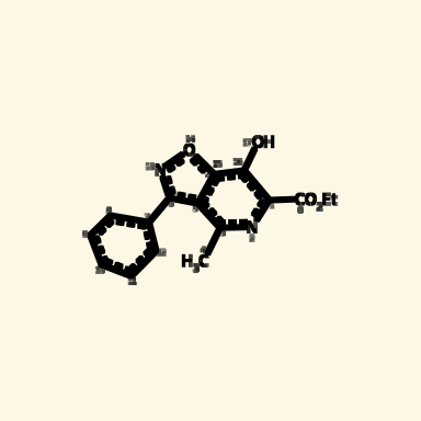 CCOC(=O)c1nc(C)c2c(-c3ccccc3)noc2c1O